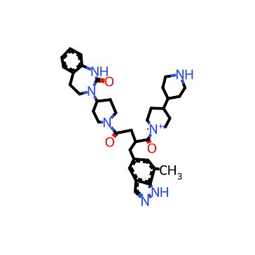 Cc1cc(CC(CC(=O)N2CCC(N3CCc4ccccc4NC3=O)CC2)C(=O)[N+]2CCC(C3CCNCC3)CC2)cc2cn[nH]c12